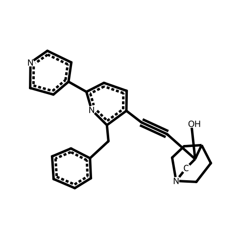 OC1(C#Cc2ccc(-c3ccncc3)nc2Cc2ccccc2)CN2CCC1CC2